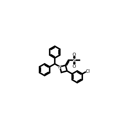 CS(=O)(=O)C=C1C(c2cccc(Cl)c2)CN1C(c1ccccc1)c1ccccc1